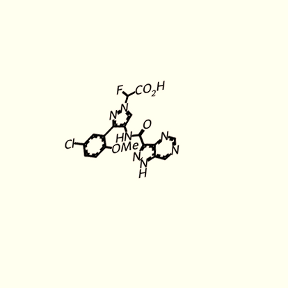 COc1ccc(Cl)cc1-c1nn(C(F)C(=O)O)cc1NC(=O)c1n[nH]c2cncnc12